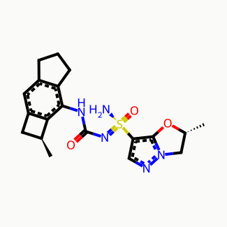 C[C@@H]1Cn2ncc([S@@](N)(=O)=NC(=O)Nc3c4c(cc5c3[C@@H](C)C5)CCC4)c2O1